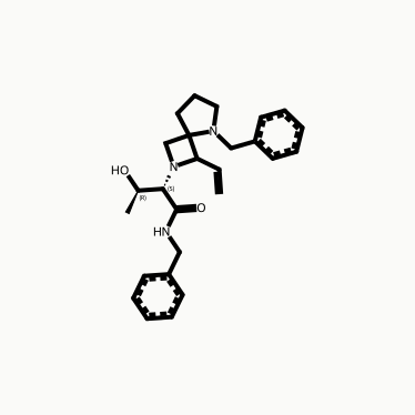 C=CC1N([C@H](C(=O)NCc2ccccc2)[C@@H](C)O)CC12CCCN2Cc1ccccc1